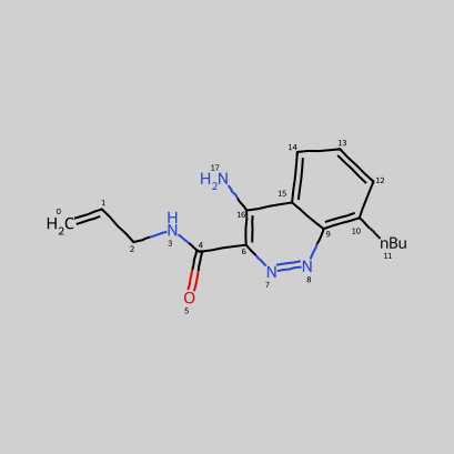 C=CCNC(=O)c1nnc2c(CCCC)cccc2c1N